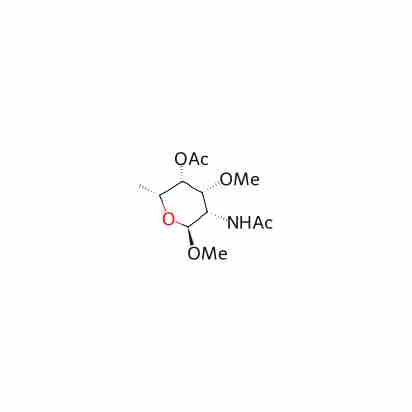 CO[C@H]1O[C@H](C)[C@H](OC(C)=O)[C@H](OC)[C@@H]1NC(C)=O